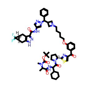 CC(C(=O)NC(C(=O)N1CCC[C@H]1c1nc(C(=O)c2cccc(OCCCCCN3CC(C(c4ccccc4)n4cc(NC(=O)c5n[nH]c6c5C[C@@H]5C(F)(F)[C@]5(C)C6)cn4)C3)c2)cs1)C1CCCCC1)N(C)C(=O)OC(C)(C)C